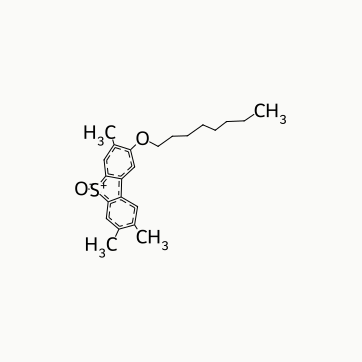 CCCCCCCCOc1cc2c3cc(C)c(C)cc3[s+]([O-])c2cc1C